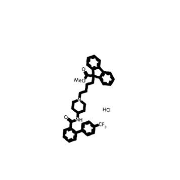 COC(=O)C1(CCCCN2CCC(NC(=O)c3ccccc3-c3ccc(C(F)(F)F)cc3)CC2)c2ccccc2-c2ccccc21.Cl